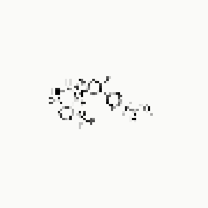 CC(C)(NC(=O)O)c1ncc(-c2cc3c(cc2F)nc2n3[C@@H]3C[C@H]2NC(=O)c2cccc(OC(F)F)c23)cn1